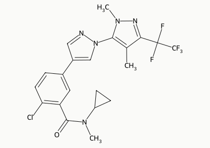 Cc1c(C(F)(F)C(F)(F)F)nn(C)c1-n1cc(-c2ccc(Cl)c(C(=O)N(C)C3CC3)c2)cn1